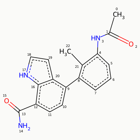 CC(=O)Nc1cccc(-c2ccc(C(N)=O)c3[nH]ccc23)c1C